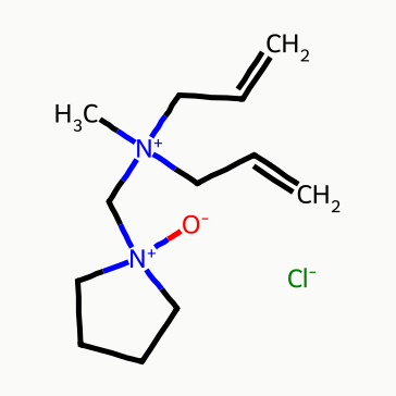 C=CC[N+](C)(CC=C)C[N+]1([O-])CCCC1.[Cl-]